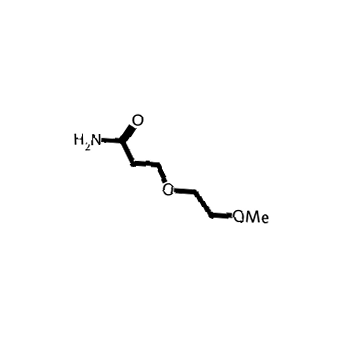 COCCOCCC(N)=O